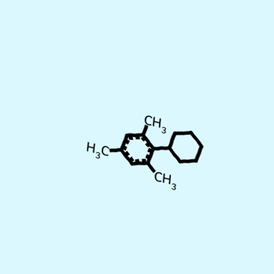 Cc1cc(C)c(C2CCCCC2)c(C)c1